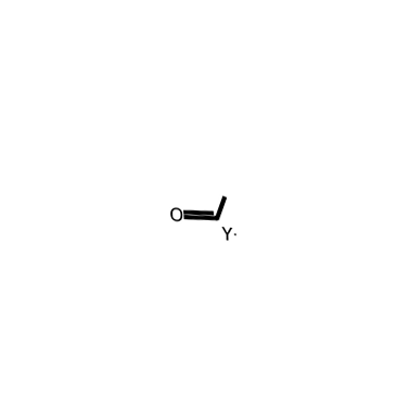 CC=O.[Y]